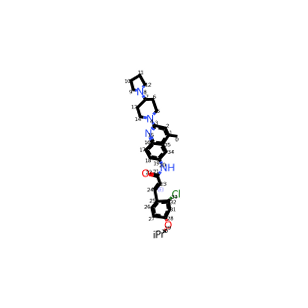 Cc1cc(N2CCC(N3CCCC3)CC2)nc2ccc(NC(=O)/C=C/c3ccc(OC(C)C)cc3Cl)cc12